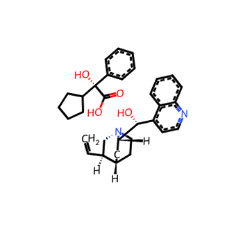 C=C[C@H]1C[N@]2CC[C@H]1C[C@H]2[C@H](O)c1ccnc2ccccc12.O=C(O)[C@](O)(c1ccccc1)C1CCCC1